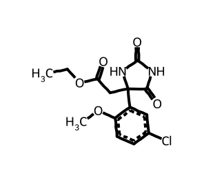 CCOC(=O)CC1(c2cc(Cl)ccc2OC)NC(=O)NC1=O